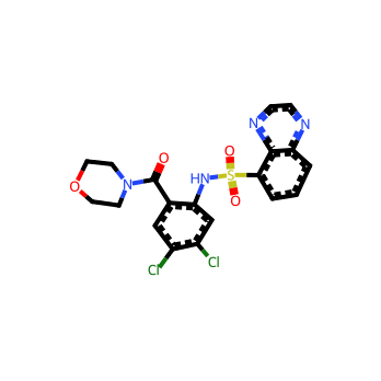 O=C(c1cc(Cl)c(Cl)cc1NS(=O)(=O)c1cccc2nccnc12)N1CCOCC1